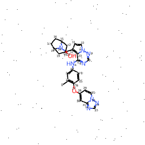 Cc1cc(Nc2ncnn3ccc(CN4C5CCC4CC(O)C5)c23)ccc1Oc1ccn2ncnc2c1